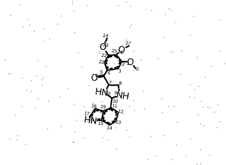 COc1cc(C(=O)C2CNC(c3cccc4[nH]ccc34)N2)cc(OC)c1OC